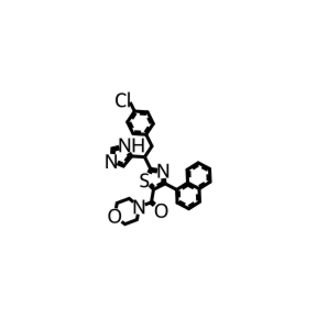 O=C(c1sc(C(Cc2ccc(Cl)cc2)c2cnc[nH]2)nc1-c1cccc2ccccc12)N1CCOCC1